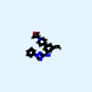 Cc1cc(Nc2ncn(-c3ccccc3)n2)cc(C2CCN(C3COC3)CC2)c1